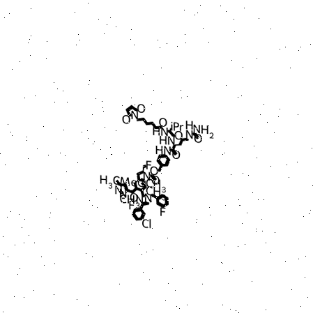 COC(C)(C)C(c1nc(-c2cc(Cl)ccc2F)cn1Cc1cccc(F)c1)C(C[C@H]1C[C@@H](CF)N(C(=O)OCc2ccc(NC(=O)[C@H](CCCNC(N)=O)NC(=O)[C@@H](NC(=O)CCCCCN3C(=O)C=CC3=O)C(C)C)cc2)C1)C(=O)c1cc(C)nn1C